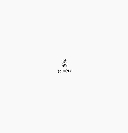 [Bi].[O]=[Pb].[Sn]